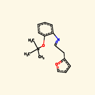 C[Si](C)(C)Oc1ccccc1N=CCc1ccco1